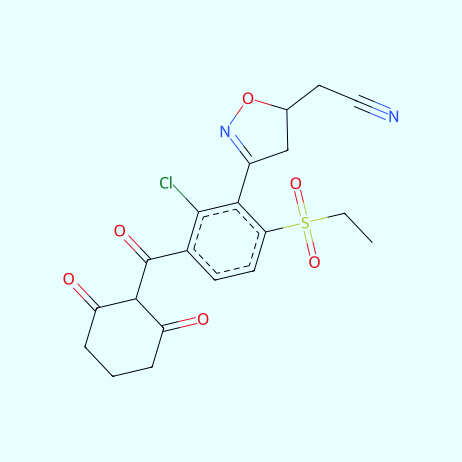 CCS(=O)(=O)c1ccc(C(=O)C2C(=O)CCCC2=O)c(Cl)c1C1=NOC(CC#N)C1